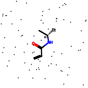 C=CC(=O)N[C@H](C)CC